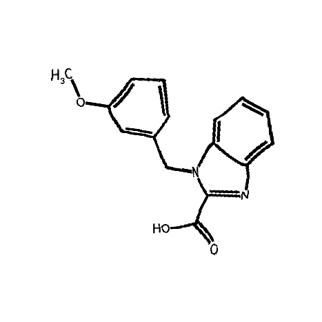 COc1cccc(Cn2c(C(=O)O)nc3ccccc32)c1